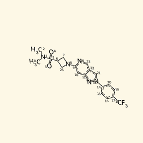 CN(C)S(=O)(=O)C1CN(c2cc3nn(-c4ccc(C(F)(F)F)cc4)cc3cn2)C1